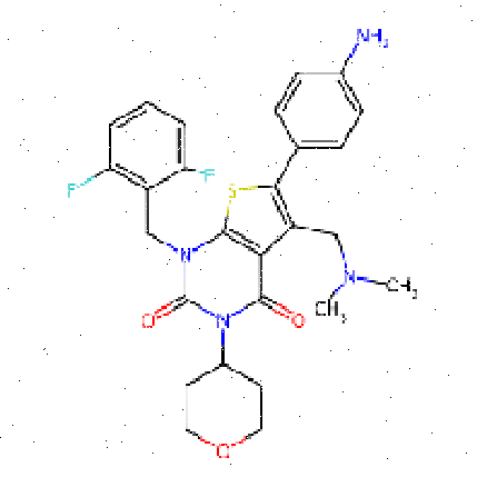 CN(C)Cc1c(-c2ccc(N)cc2)sc2c1c(=O)n(C1CCOCC1)c(=O)n2Cc1c(F)cccc1F